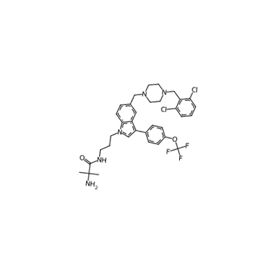 CC(C)(N)C(=O)NCCCn1cc(-c2ccc(OC(F)(F)F)cc2)c2cc(CN3CCN(Cc4c(Cl)cccc4Cl)CC3)ccc21